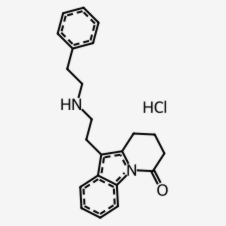 Cl.O=C1CCCc2c(CCNCCc3ccccc3)c3ccccc3n21